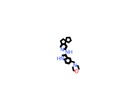 c1cc2[nH]cc(Nc3cc4c(cn3)CCC43CCCC3)c2cc1CN1CCOCC1